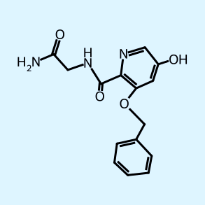 NC(=O)CNC(=O)c1ncc(O)cc1OCc1ccccc1